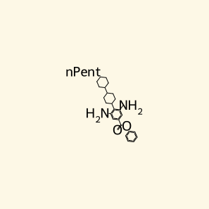 CCCCCC1CCC(C2CCC(c3c(N)cc(C(=O)Oc4ccccc4)cc3N)CC2)CC1